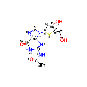 CC(C)C(=O)Nc1nc2c(ncn2[C@H]2C[C@H](O)[C@@H](CO)S2)c(=O)[nH]1